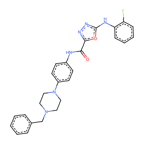 O=C(Nc1ccc(N2CCN(Cc3ccccc3)CC2)cc1)c1nnc(Nc2ccccc2F)o1